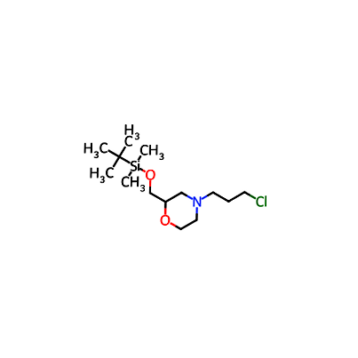 CC(C)(C)[Si](C)(C)OCC1CN(CCCCl)CCO1